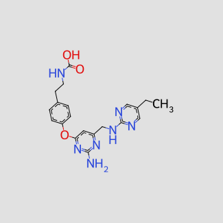 CCc1cnc(NCc2cc(Oc3ccc(CCNC(=O)O)cc3)nc(N)n2)nc1